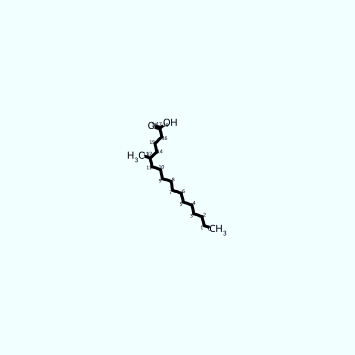 CCCCCCCCCCCCC(C)CCCC(=O)O